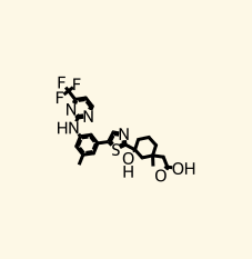 Cc1cc(Nc2nccc(C(F)(F)F)n2)cc(-c2cnc([C@]3(O)CCCC(C)(CC(=O)O)C3)s2)c1